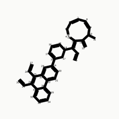 C=C/C(=C1/SC/C=C\C=C/C(C)C1=C)C1C=CC=C(c2ccc3c(c2)c(C=C)c(C=C)c2ccccc23)C1